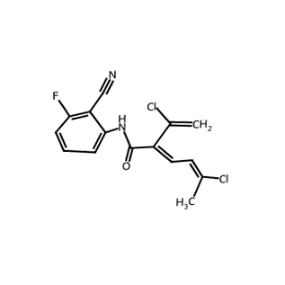 C=C(Cl)/C(=C\C=C(/C)Cl)C(=O)Nc1cccc(F)c1C#N